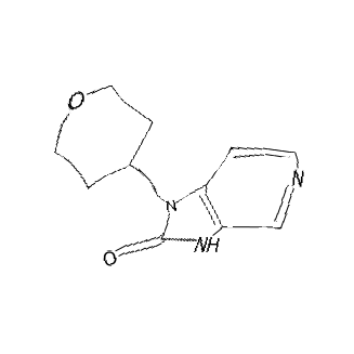 O=c1[nH]c2cnccc2n1C1CCOCC1